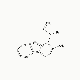 C=CN(c1c(C)ccc2c1oc1cnccc12)C(C)C